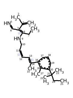 C=C(C)/C(C=N)=C(\CC)NC/C=C\C=C(/C)c1cccc(C(C)(C)CC)c1C